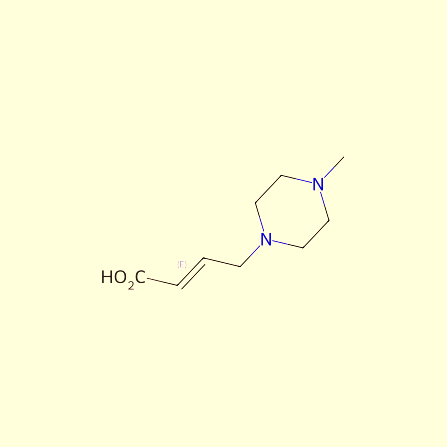 CN1CCN(C/C=C/C(=O)O)CC1